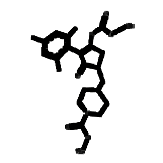 Cc1cc(C)c(C2=C(OC(=O)OC(C)(C)C)CC(CC3CCN(C(=O)OC(C)(C)C)CC3)C2=O)c(C)c1